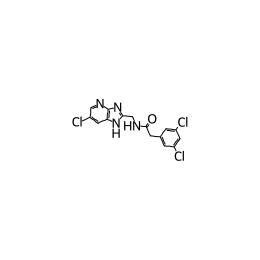 O=C(Cc1cc(Cl)cc(Cl)c1)NCc1nc2ncc(Cl)cc2[nH]1